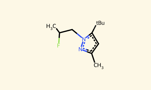 Cc1cc(C(C)(C)C)n(CC(C)F)n1